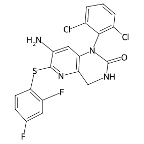 Nc1cc2c(nc1Sc1ccc(F)cc1F)CNC(=O)N2c1c(Cl)cccc1Cl